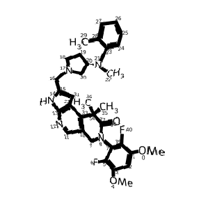 COc1cc(OC)c(F)c(N2Cc3cnc4[nH]c(CN5CC[C@H](N(C)c6ccccc6C)C5)cc4c3C(C)(C)C2=O)c1F